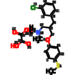 CSc1ccc(OCC(Cc2cccc(Cl)c2)CN(C)C)cc1.O=C(O)C(=O)O